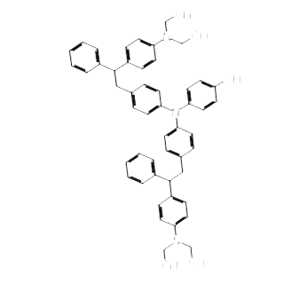 CCN(CC)c1ccc(C(Cc2ccc(N(c3ccc(C)cc3)c3ccc(CC(c4ccccc4)c4ccc(N(CC)CC)cc4)cc3)cc2)c2ccccc2)cc1